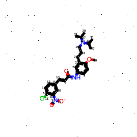 COc1ccc(NC(=O)/C=C/c2ccc(Cl)c([N+](=O)[O-])c2)cc1CCCN(C(C)C)C(C)C